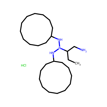 CCC(CN)N(NC1CCCCCCCCCCC1)NC1CCCCCCCCCCC1.Cl